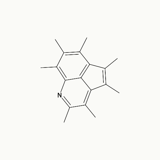 CC1=C(C)c2c(C)c(C)c(C)c3nc(C)c(C)c1c23